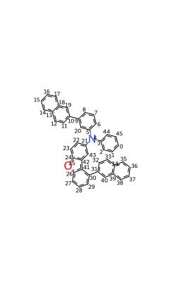 c1ccc(N(c2cccc(-c3ccc4ccccc4c3)c2)c2ccc3oc4cccc(-c5ccc6ccccc6c5)c4c3c2)cc1